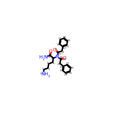 NCCCCC(C(N)=O)N(C(=O)Cc1ccccc1)C(=O)Cc1ccccc1